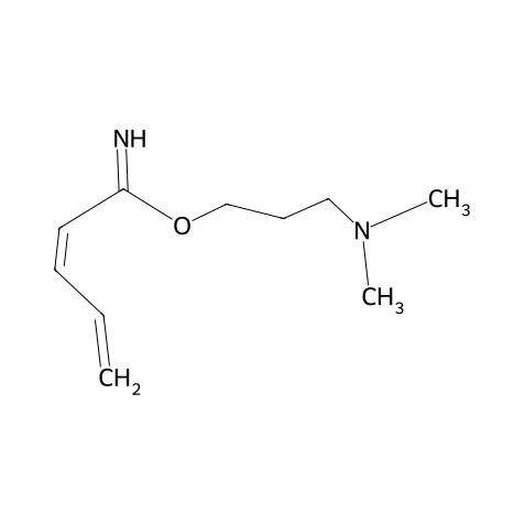 C=C/C=C\C(=N)OCCCN(C)C